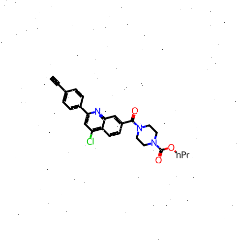 C#Cc1ccc(-c2cc(Cl)c3ccc(C(=O)N4CCN(C(=O)OCCC)CC4)cc3n2)cc1